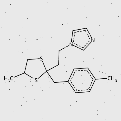 Cc1ccc(CC2(CCn3ccnc3)SCC(C)S2)cc1